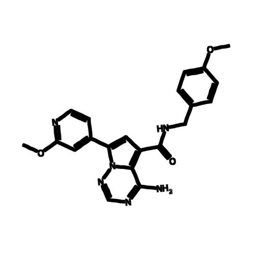 COc1ccc(CNC(=O)c2cc(-c3ccnc(OC)c3)n3ncnc(N)c23)cc1